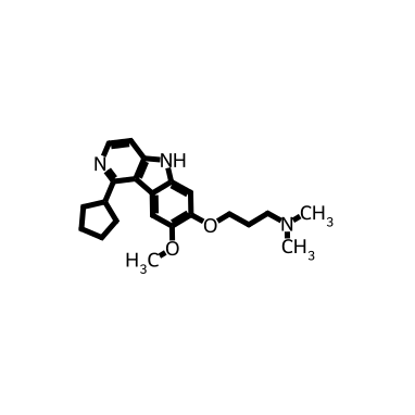 COc1cc2c(cc1OCCCN(C)C)[nH]c1ccnc(C3CCCC3)c12